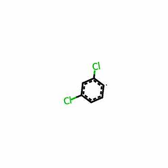 Clc1[c]ccc(Cl)c1